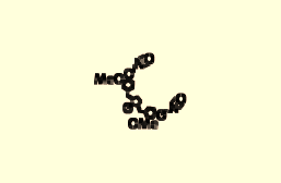 COc1cc(/C=C2\CC/C(=C\c3ccc(OCCN4CCOCC4)c(OC)c3)C2=O)ccc1OCCN1CCOCC1